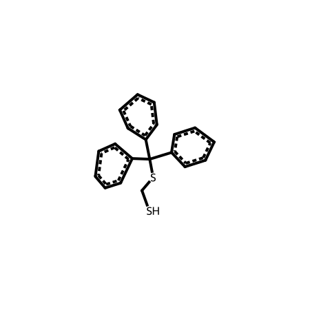 SCSC(c1ccccc1)(c1ccccc1)c1ccccc1